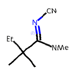 CCC(C)(C)/C(=N/C#N)NC